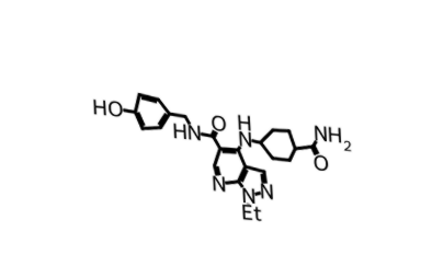 CCn1ncc2c(NC3CCC(C(N)=O)CC3)c(C(=O)NCc3ccc(O)cc3)cnc21